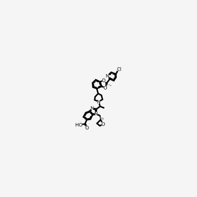 CC(c1nc2ccc(C(=O)O)cc2n1C[C@@H]1CCO1)N1CCC(c2cccc3c2O[C@](C)(c2ccc(Cl)cn2)O3)CC1